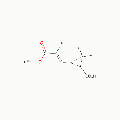 CCCOC(=O)C(F)=CC1C(C(=O)O)C1(C)C